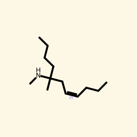 CCC/C=C\CC(C)(CCCC)NC